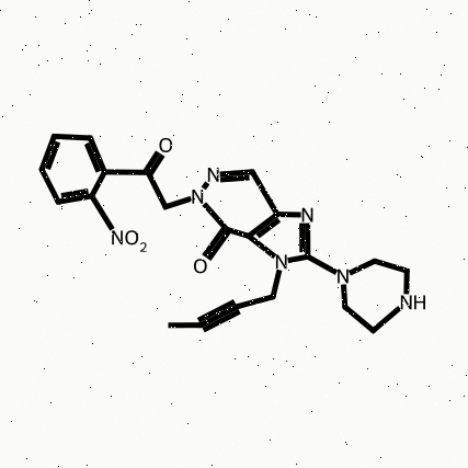 CC#CCn1c(N2CCNCC2)nc2cnn(CC(=O)c3ccccc3[N+](=O)[O-])c(=O)c21